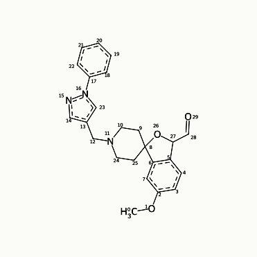 COc1ccc2c(c1)C1(CCN(Cc3cnn(-c4ccccc4)c3)CC1)OC2C=O